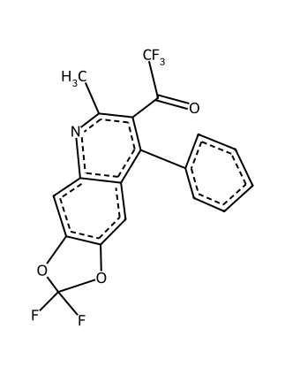 Cc1nc2cc3c(cc2c(-c2ccccc2)c1C(=O)C(F)(F)F)OC(F)(F)O3